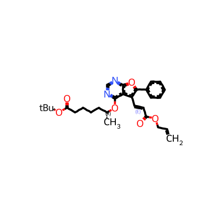 C=CCOC(=O)/C=C/c1c(-c2ccccc2)oc2ncnc(O[C@H](C)CCCCC(=O)OC(C)(C)C)c12